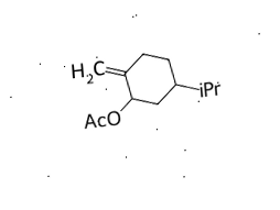 C=C1CCC(C(C)C)CC1OC(C)=O